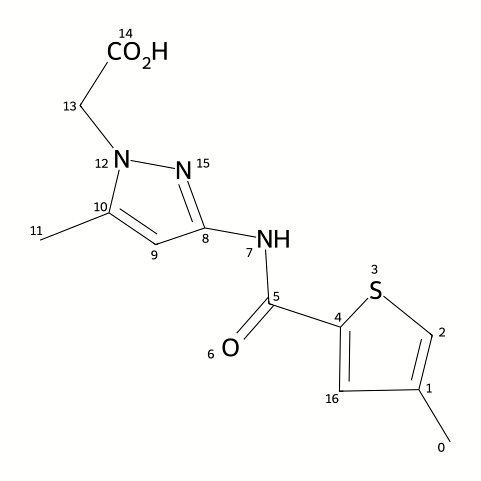 Cc1csc(C(=O)Nc2cc(C)n(CC(=O)O)n2)c1